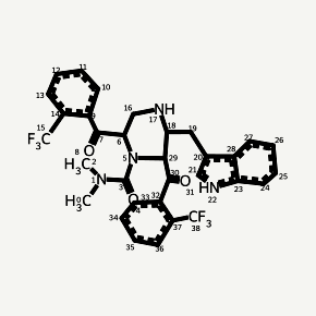 CN(C)C(=O)N1C(C(=O)c2ccccc2C(F)(F)F)CNC(Cc2c[nH]c3ccccc23)C1C(=O)c1ccccc1C(F)(F)F